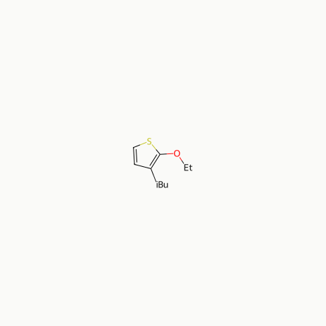 CCOc1sccc1C(C)CC